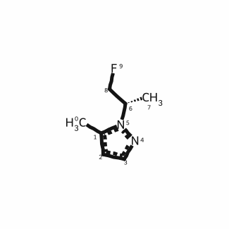 Cc1ccnn1[C@@H](C)CF